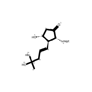 CCCCCCC[C@H]1C(=O)C[C@@H](O)[C@@H]1/C=C/CC(C)(O)CCCC